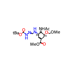 COCO[C@H]1CC(C(=O)OC)=C[C@@H](NC=NNC(=O)OC(C)(C)C)[C@H]1NC(C)=O